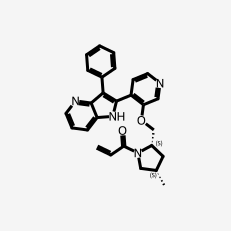 C=CC(=O)N1C[C@@H](C)C[C@H]1COc1cnccc1-c1[nH]c2cccnc2c1-c1ccccc1